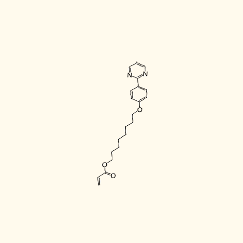 C=CC(=O)OCCCCCCCCOc1ccc(-c2nc[c]cn2)cc1